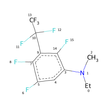 CCN(C)c1cc(F)c(F)c(C(F)(F)C(F)(F)F)c1F